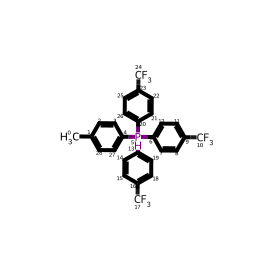 Cc1ccc([PH](c2ccc(C(F)(F)F)cc2)(c2ccc(C(F)(F)F)cc2)c2ccc(C(F)(F)F)cc2)cc1